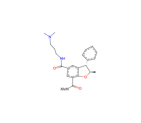 CNC(=O)c1cc(C(=O)NCCCN(C)C)cc2c1O[C@H](C)[C@H]2c1ccccc1